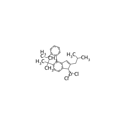 CCc1ccccc1-c1c(C(C)(C)C)ccc2c1C=C(CC(C)C)[CH]2[Zr]([Cl])[Cl]